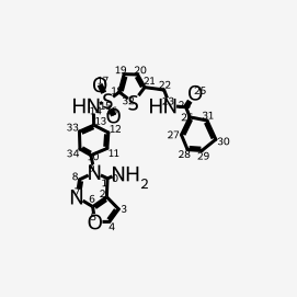 NC1c2ccoc2N=CN1c1ccc(NS(=O)(=O)c2ccc(CNC(=O)c3ccccc3)s2)cc1